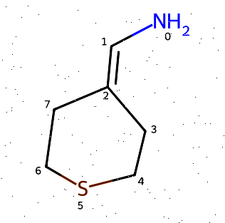 NC=C1CCSCC1